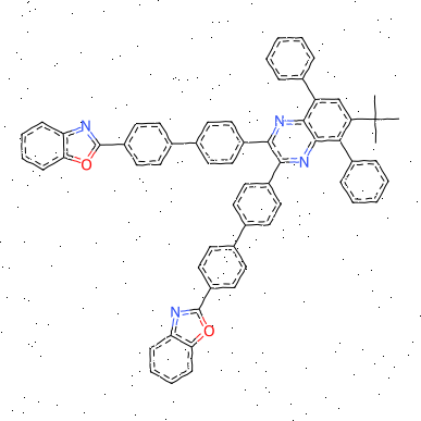 CC(C)(C)c1cc(-c2ccccc2)c2nc(-c3ccc(-c4ccc(-c5nc6ccccc6o5)cc4)cc3)c(-c3ccc(-c4ccc(-c5nc6ccccc6o5)cc4)cc3)nc2c1-c1ccccc1